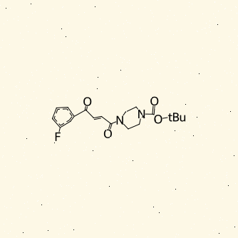 CC(C)(C)OC(=O)N1CCN(C(=O)/C=C/C(=O)c2cccc(F)c2)CC1